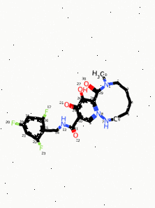 CN1CCCCCNn2cc(C(=O)NCc3c(F)cc(F)cc3F)c(=O)c(O)c2C1=O